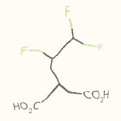 O=C(O)C(C(=O)O)C(F)C(F)F